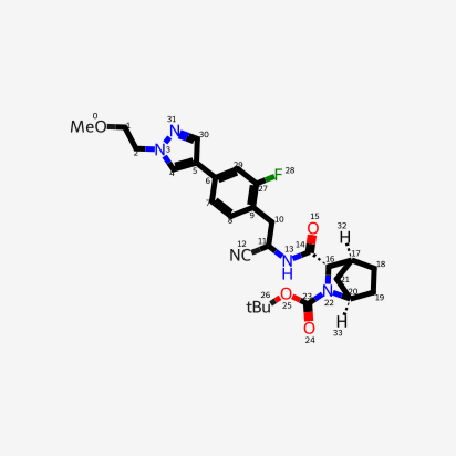 COCCn1cc(-c2ccc(CC(C#N)NC(=O)[C@@H]3[C@H]4CC[C@H](C4)N3C(=O)OC(C)(C)C)c(F)c2)cn1